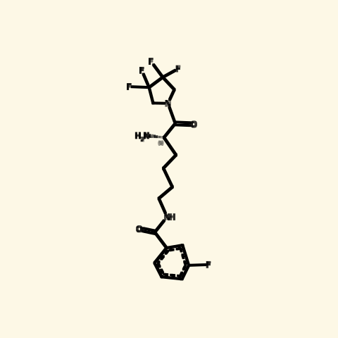 N[C@@H](CCCCNC(=O)c1cccc(F)c1)C(=O)N1CC(F)(F)C(F)(F)C1